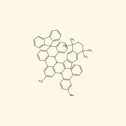 Cc1cc2c3c(c1)N(c1ccc(C(C)(C)C)cc1-c1ccccc1)c1sc4cc5c(cc4c1B3N1c3ccccc3[Si]3(c4ccccc4-c4ccccc43)c3cccc-2c31)C(C)(C)CCC5(C)C